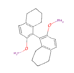 POc1ccc2c(c1-c1c(OP)ccc3c1CCCC3)CCCC2